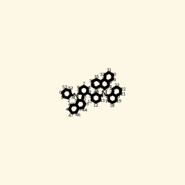 c1ccc(-n2c3cccc(-c4cccc(N(c5cccc6ccccc56)c5cc6ccccc6c6ccccc56)c4)c3c3ccc4ccccc4c32)cc1